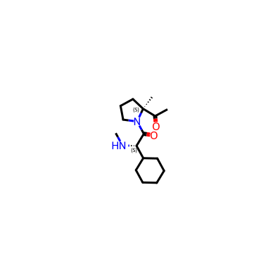 CN[C@H](C(=O)N1CCC[C@@]1(C)C(C)=O)C1CCCCC1